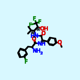 COc1ccc([C@H](NC(=O)C(N)Cc2cccc(F)c2)C(=O)N[C@@H](C(C)C)[C@H](O)C(F)(F)F)cc1